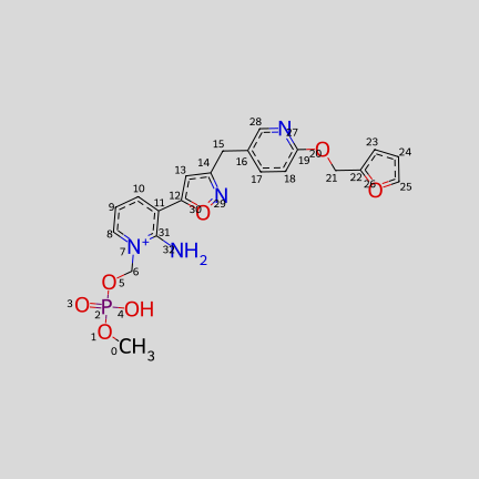 COP(=O)(O)OC[n+]1cccc(-c2cc(Cc3ccc(OCc4ccco4)nc3)no2)c1N